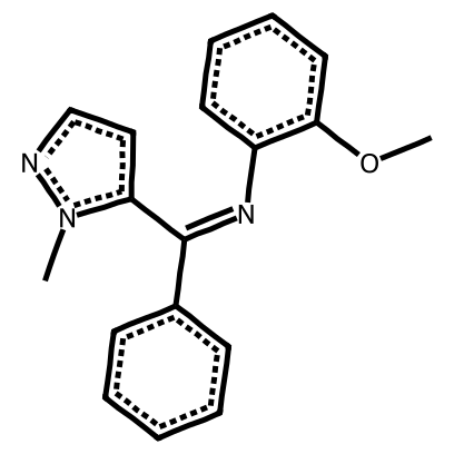 COc1ccccc1N=C(c1ccccc1)c1ccnn1C